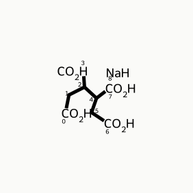 O=C(O)CC(C(=O)O)C(CC(=O)O)C(=O)O.[NaH]